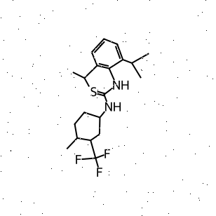 CC(C)c1cccc(C(C)C)c1NC(=S)NC1CCC(C)C(C(F)(F)F)C1